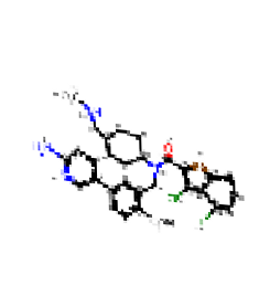 COc1ccc(-c2ccc(N)nc2)cc1CN(C(=O)c1sc2cccc(F)c2c1Cl)C1CCC(CNC(=O)O)CC1